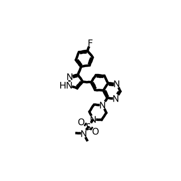 CN(C)S(=O)(=O)N1CCN(c2ncnc3ccc(-c4c[nH]nc4-c4ccc(F)cc4)cc23)CC1